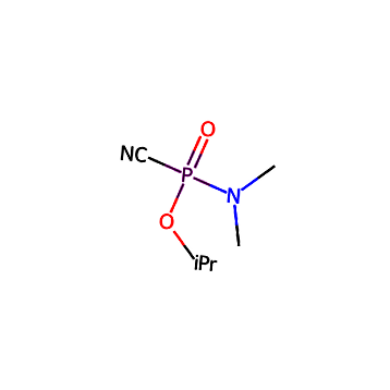 CC(C)OP(=O)(C#N)N(C)C